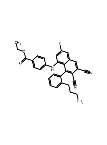 CCCCc1ccccc1-c1c(C#N)c(C#N)cc2cc(F)cc(Nc3ccc(C(=O)OCC)cc3)c12